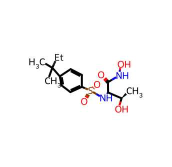 CCC(C)(C)c1ccc(S(=O)(=O)N[C@H](C(=O)NO)[C@@H](C)O)cc1